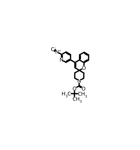 [C-]#[N+]c1ccc(C2=CC3(CCN(C(=O)OC(C)(C)C)CC3)Oc3ccccc32)cn1